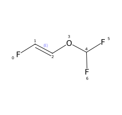 F/C=C/OC(F)F